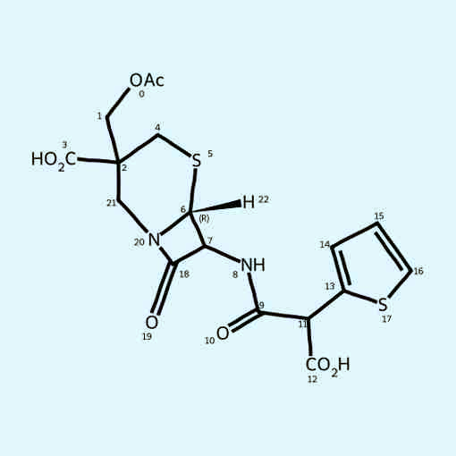 CC(=O)OCC1(C(=O)O)CS[C@@H]2C(NC(=O)C(C(=O)O)c3cccs3)C(=O)N2C1